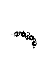 Cc1cc(N(C(=O)[C@H]2CC[C@H](Oc3ccc(F)cn3)CC2)C(C)C)ccc1CN1CCNCC1